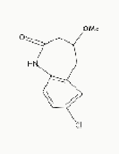 COC1CC(=O)Nc2ccc(Cl)cc2C1